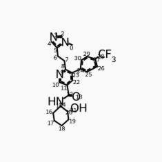 Cn1cncc1CCc1ncc(C(=O)N[C@@H]2CCCC[C@H]2O)cc1-c1ccc(C(F)(F)F)cc1